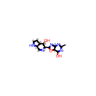 Cc1nc(O)c2oc(-c3ncc4[nH]ccc4c3O)nc2n1